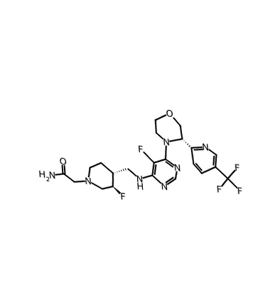 NC(=O)CN1CC[C@H](CNc2ncnc(N3CCOC[C@@H]3c3ccc(C(F)(F)F)cn3)c2F)[C@@H](F)C1